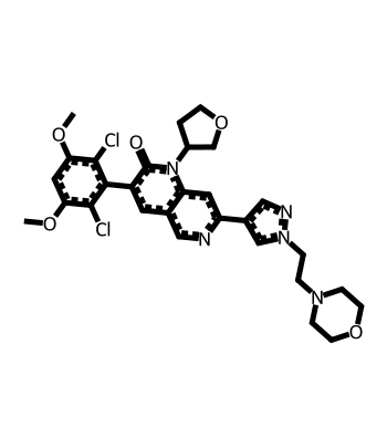 COc1cc(OC)c(Cl)c(-c2cc3cnc(-c4cnn(CCN5CCOCC5)c4)cc3n(C3CCOC3)c2=O)c1Cl